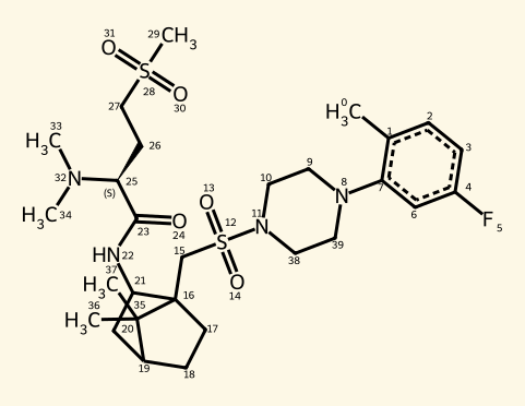 Cc1ccc(F)cc1N1CCN(S(=O)(=O)CC23CCC(CC2NC(=O)[C@H](CCS(C)(=O)=O)N(C)C)C3(C)C)CC1